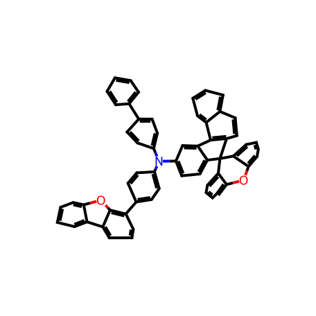 c1ccc(-c2ccc(N(c3ccc(-c4cccc5c4oc4ccccc45)cc3)c3ccc4c(c3)-c3c(ccc5ccccc35)C43c4ccccc4Oc4ccccc43)cc2)cc1